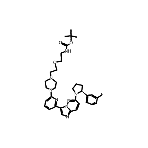 CC(C)(C)OC(=O)NCCOCCN1CCN(c2cccc(-c3cnc4ccc(N5CCC[C@H]5c5cccc(F)c5)nn34)n2)CC1